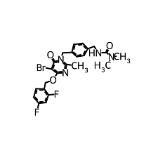 Cc1nc(OCc2ccc(F)cc2F)c(Br)c(=O)n1Cc1ccc(CNC(=O)N(C)C)cc1